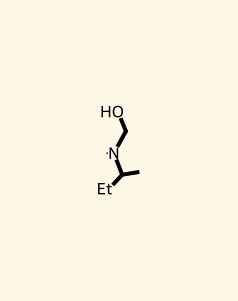 CCC(C)[N]CO